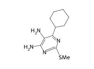 CSc1nc(N)c(N)c(C2CCCCC2)n1